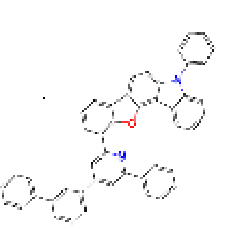 c1ccc(-c2cccc(-c3cc(-c4ccccc4)nc(-c4cccc5c4oc4c5ccc5c4c4ccccc4n5-c4ccccc4)c3)c2)cc1